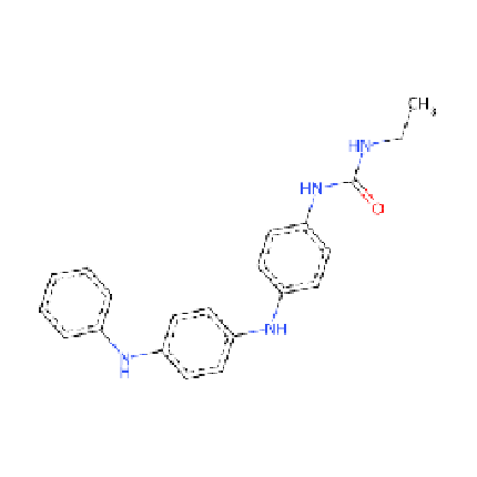 CCNC(=O)Nc1ccc(Nc2ccc(Nc3ccccc3)cc2)cc1